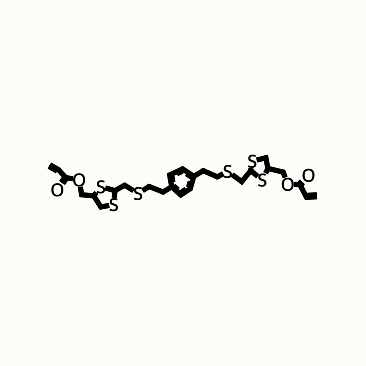 C=CC(=O)OCC1CSC(CSCCc2ccc(CCSCC3SCC(COC(=O)C=C)S3)cc2)S1